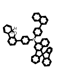 C1=CC2c3cccc(-c4ccc(N(c5ccc(-c6cccc7ccccc67)cc5)c5cc6c(c7ccccc57)C5(c7ccccc7-c7ccccc75)c5ccccc5-6)cc4)c3O[C@H]2C=C1